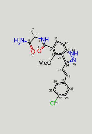 COc1c(C(=O)N[C@@H](C)C(N)=O)ccc2[nH]nc(/C=C/c3ccc(Cl)cc3)c12